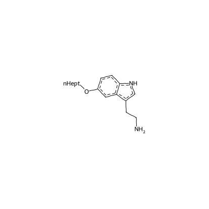 CCCCCCCOc1ccc2[nH]cc(CCN)c2c1